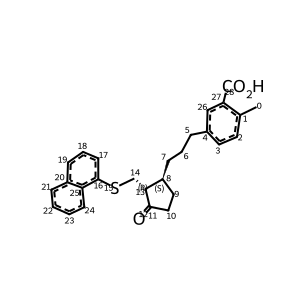 Cc1ccc(CCC[C@H]2CCC(=O)[C@@H]2CSc2cccc3ccccc23)cc1C(=O)O